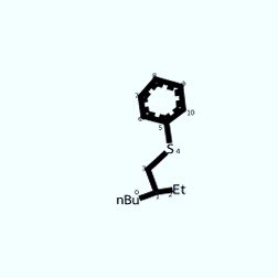 CCCCC(CC)CSc1[c]cccc1